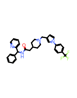 O=C(CC1CCN(Cc2ccn(-c3ccc(C(F)(F)F)cc3)c2)CC1)NC(c1ccccc1)c1ccccn1